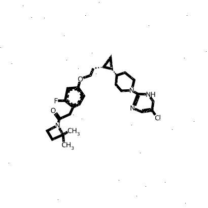 CC1(C)CCN1C(=O)Cc1ccc(OCC[C@@H]2C[C@@H]2C2CCN(C3=NC=C(Cl)CN3)CC2)cc1F